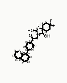 O=C(CN1C(O)NC2(CCC(F)(F)CC2)C1O)c1ccc(-c2cccc3cccnc23)nc1